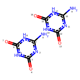 Nc1nc(=O)[nH]c(=O)[nH]1.Nc1nc(=O)[nH]c(=O)[nH]1